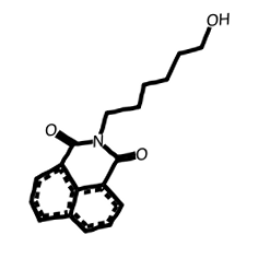 O=C1c2cccc3cccc(c23)C(=O)N1CCCCCCO